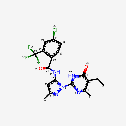 CCc1c(C)nc(-n2nc(C)cc2NC(=O)c2ccc(Cl)cc2C(F)(F)F)[nH]c1=O